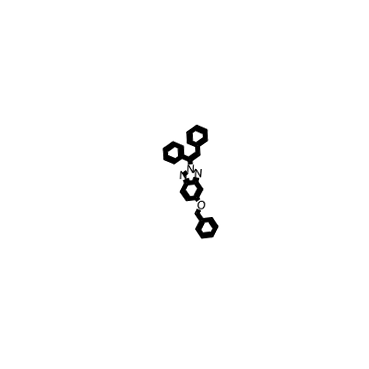 C(=C(c1ccccc1)n1nc2ccc(OCc3ccccc3)cc2n1)c1ccccc1